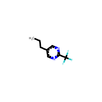 CC[CH]c1cnc(C(F)(F)F)nc1